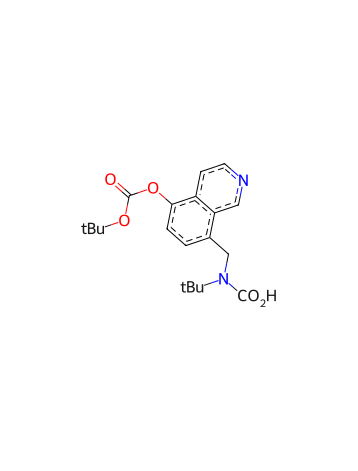 CC(C)(C)OC(=O)Oc1ccc(CN(C(=O)O)C(C)(C)C)c2cnccc12